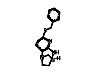 c1ccc(CSc2ccc3c(n2)N[C@H]2CCN3C2)cc1